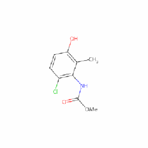 COC(=O)Nc1c(Cl)ccc(O)c1C